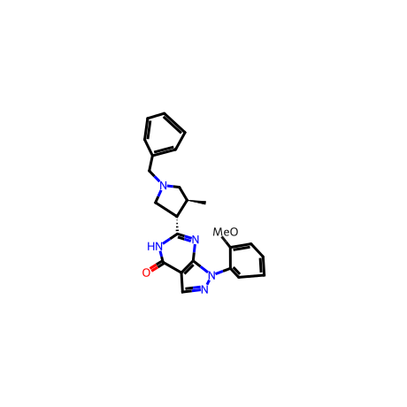 COc1ccccc1-n1ncc2c(=O)[nH]c([C@@H]3CN(Cc4ccccc4)C[C@H]3C)nc21